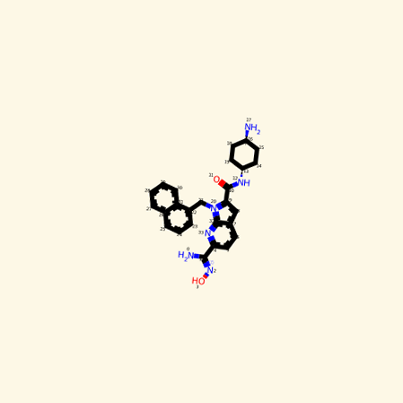 N/C(=N\O)c1ccc2cc(C(=O)N[C@H]3CC[C@H](N)CC3)n(Cc3cccc4ccccc34)c2n1